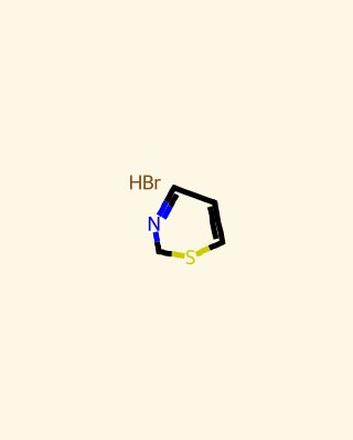 Br.C1=CSCN=C1